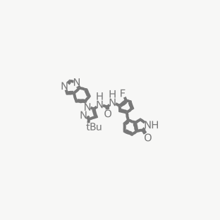 CC(C)(C)c1cc(NC(=O)Nc2cc(-c3cccc4c3CNC4=O)ccc2F)n(-c2ccc3ncncc3c2)n1